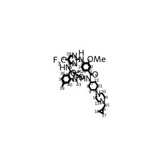 COc1cc(C(=O)N[C@H]2CC[C@H](N3CCN(CC4CC4)CC3)CC2)ccc1Nc1ncc(C(F)(F)F)c(NCc2ccc(C)cc2N(C)S(C)(=O)=O)n1